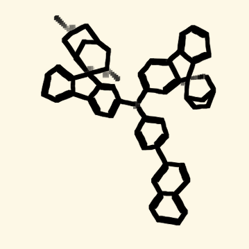 C[C@@H]1CC2CC(C1)[C@@]1(c3ccccc3-c3ccc(N(c4ccc(-c5ccc6ccccc6c5)cc4)c4ccc5c(c4)[C@@]4(CC6CCC4C6)c4ccccc4-5)cc31)[C@@H](C)C2